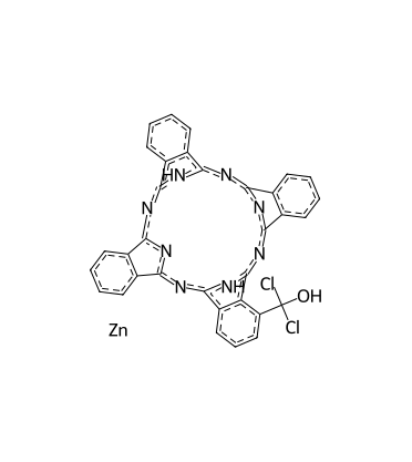 OC(Cl)(Cl)c1cccc2c3nc4nc(nc5[nH]c(nc6nc(nc([nH]3)c12)-c1ccccc1-6)c1ccccc51)-c1ccccc1-4.[Zn]